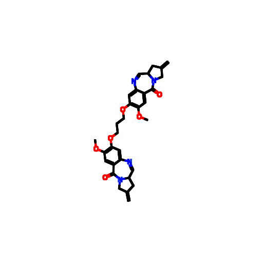 C=C1CC2C=Nc3cc(OCCCOc4cc5c(cc4OC)C(=O)N4CC(=C)CC4C=N5)c(OC)cc3C(=O)N2C1